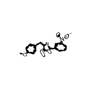 COc1ccc(/C=C2/N=C(c3cccc([N+](=O)[O-])c3)OC2=O)cc1